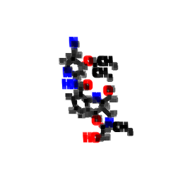 CC(C)Oc1cc(NC(=O)c2cccc3cc(CN(C)C(=O)CO)c(C=O)nc23)ncc1C#N